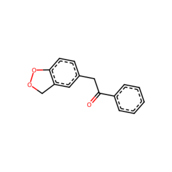 O=C(Cc1ccc2c(c1)COO2)c1ccccc1